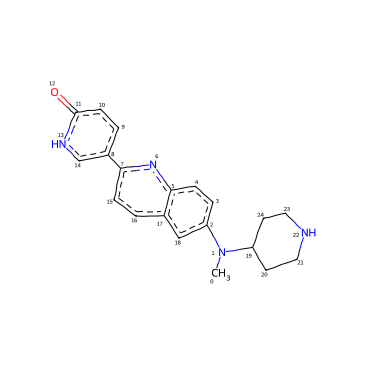 CN(c1ccc2nc(-c3ccc(=O)[nH]c3)ccc2c1)C1CCNCC1